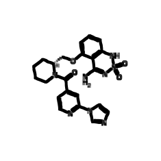 NC1=NS(=O)(=O)Nc2cccc(OC[C@H]3CCCCN3C(=O)c3ccnc(-n4ccnc4)c3)c21